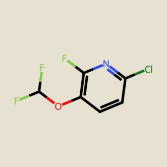 Fc1nc(Cl)ccc1OC(F)F